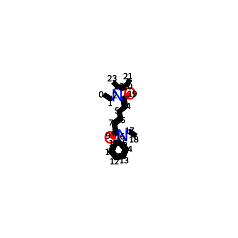 CCN1C(=CCC=Cc2oc3ccccc3[n+]2CC)OC(C)=C1C